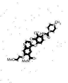 CNC(=O)c1cc2c(Oc3ccc(NC(=O)N4CCN(C)CC4)c(Cl)c3Cl)ccnc2cc1OCCOC